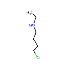 CCNCCCCCl